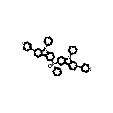 O=P(c1ccccc1)(c1ccc2c(c1)c1ccc(-c3ccncc3)cc1n2-c1ccccc1)c1ccc2c(c1)c1ccc(-c3ccncc3)cc1n2-c1ccccc1